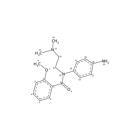 COc1ccccc1C(=O)N(CCN(C)C)c1ccc(N)cc1